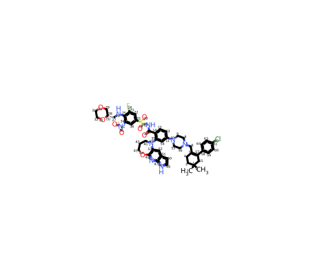 CC1(C)CCC(CN2CCN(c3ccc(C(=O)NS(=O)(=O)c4cc(F)c(NC[C@H]5COCCO5)c([N+](=O)[O-])c4)c(N4CCCOc5nc6[nH]ccc6cc54)c3)CC2)=C(c2ccc(Cl)cc2)C1